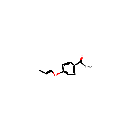 CC=COc1ccc(C(=O)OC)cc1